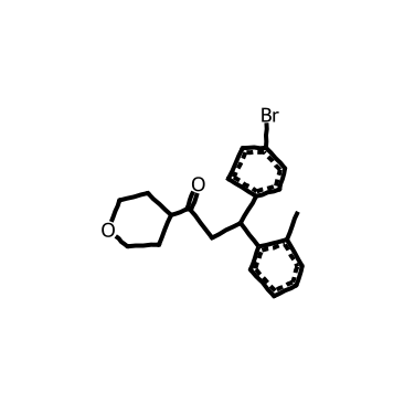 Cc1ccccc1C(CC(=O)C1CCOCC1)c1ccc(Br)cc1